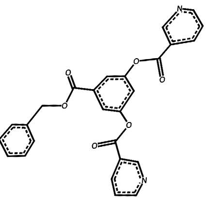 O=C(OCc1ccccc1)c1cc(OC(=O)c2cccnc2)cc(OC(=O)c2cccnc2)c1